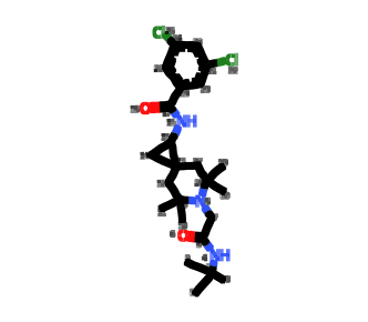 CC(C)(C)NC(=O)CN1C(C)(C)CC2(CC2NC(=O)c2cc(Cl)cc(Cl)c2)CC1(C)C